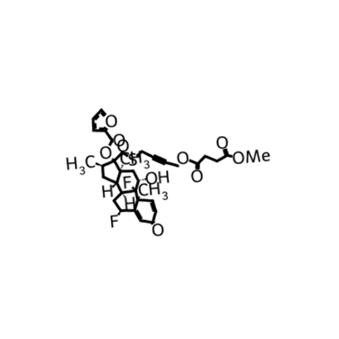 COC(=O)CCC(=O)OCC#CCSC(=O)[C@@]1(OC(=O)c2ccco2)[C@H](C)C[C@H]2[C@@H]3C[C@H](F)C4=CC(=O)C=C[C@]4(C)[C@@]3(F)[C@@H](O)C[C@@]21C